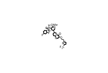 COc1ncc(-c2ccc3ncc(OCCn4ccc(C(F)(F)F)n4)c(=O)n3c2)cc1NS(=O)(=O)c1ccc(F)cc1F